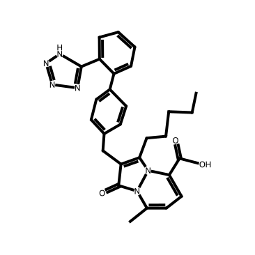 CCCCCc1c(Cc2ccc(-c3ccccc3-c3nnn[nH]3)cc2)c(=O)n2c(C)ccc(C(=O)O)n12